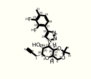 C#CC[C@H]1O[C@@H]2COC(C)(C)O[C@@H]2[C@H](n2cc(-c3ccc(C)c(F)c3F)nn2)[C@H]1O